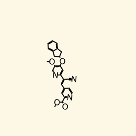 COC(=O)c1cc(/C=C(\C#N)c2cc(OC3Cc4ccccc4C3)c(OC)cn2)ccn1